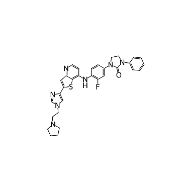 O=C1N(c2ccccc2)CCN1c1ccc(Nc2ccnc3cc(-c4cn(CCN5CCCC5)cn4)sc23)c(F)c1